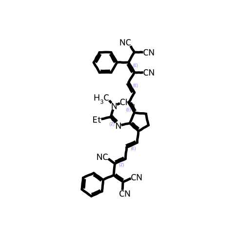 CC/C(=N/C1=C(/C=C/C=C(\C#N)C(=C(C#N)C#N)c2ccccc2)CC\C1=C/C=C/C(C#N)=C(\c1ccccc1)C(C#N)C#N)N(C)C